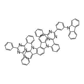 c1ccc(-c2nc(-c3cccc(-n4c5ccccc5c5ccccc54)c3)nc(-c3ccccc3-n3c4ccccc4c4c3ccc3c5ccccc5n(-c5ccccc5-c5nc(-c6ccccc6)nc(-c6ccccc6)n5)c34)n2)cc1